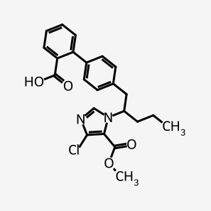 CCCC(Cc1ccc(-c2ccccc2C(=O)O)cc1)n1cnc(Cl)c1C(=O)OC